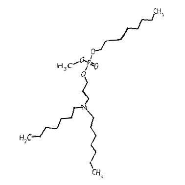 CCCCCCCCOP(=O)(OC)OCCCN(CCCCCCC)CCCCCCC